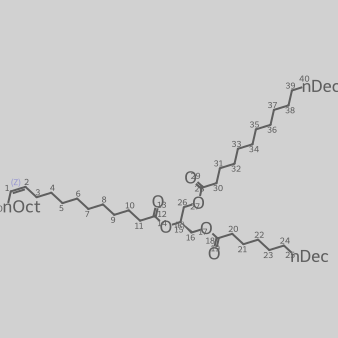 CCCCCCCC/C=C\CCCCCCCCCC(=O)O[C@H](COC(=O)CCCCCCCCCCCCCCC)COC(=O)CCCCCCCCCCCCCCCCCCCC